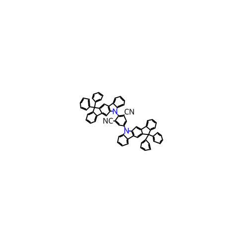 N#Cc1cc(-n2c3ccccc3c3cc4c(cc32)-c2ccccc2C4(c2ccccc2)c2ccccc2)cc(C#N)c1-n1c2ccccc2c2cc3c(cc21)-c1ccccc1C3(c1ccccc1)c1ccccc1